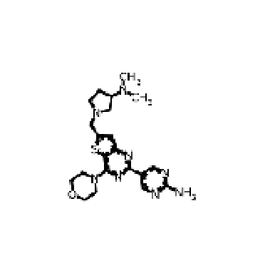 CN(C)C1CCN(Cc2cc3nc(-c4cnc(N)nc4)nc(N4CCOCC4)c3s2)C1